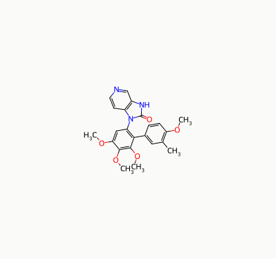 COc1ccc(-c2c(-n3c(=O)[nH]c4cnccc43)cc(OC)c(OC)c2OC)cc1C